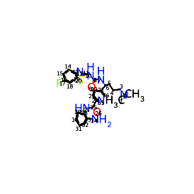 CN(C)CCCC(NC(=O)Nc1nc2ccc(F)cc2s1)c1ccc(C(=O)Nc2ccccc2N)nc1